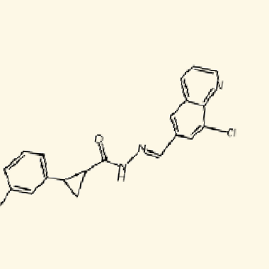 O=C(NN=Cc1cc(Cl)c2ncccc2c1)C1CC1c1cccc(Cl)c1